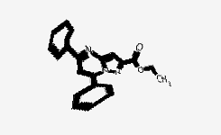 CCOC(=O)c1cc2nc(-c3ccccc3)cc(-c3ccccc3)n2n1